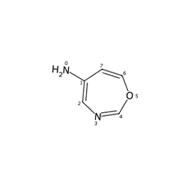 NC1=CN=COC=C1